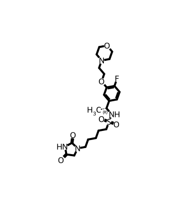 C[C@@H](NS(=O)(=O)CCCCCN1CC(=O)NC1=O)c1ccc(F)c(OCCN2CCOCC2)c1